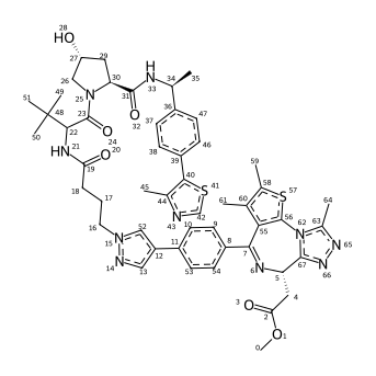 COC(=O)C[C@@H]1N=C(c2ccc(-c3cnn(CCCC(=O)NC(C(=O)N4C[C@H](O)C[C@H]4C(=O)N[C@@H](C)c4ccc(-c5scnc5C)cc4)C(C)(C)C)c3)cc2)c2c(sc(C)c2C)-n2c(C)nnc21